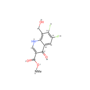 CNOC(=O)c1c[nH]c2c(CO)c(F)c(F)cc2c1=O